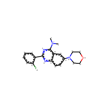 CN(C)c1nc(-c2ccccc2F)nc2ccc(N3CCOCC3)cc12